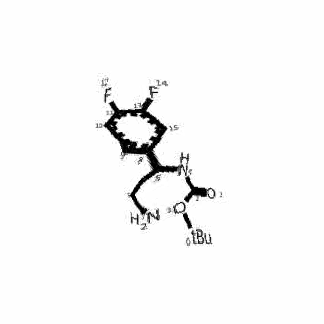 CC(C)(C)OC(=O)NC(CN)c1ccc(F)c(F)c1